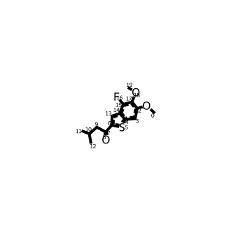 COc1cc2sc(C(=O)CC(C)C)cc2c(F)c1OC